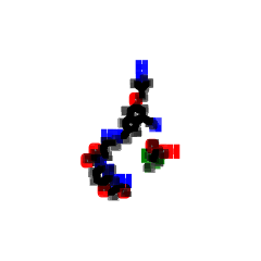 N#Cc1cc(OCC2CNC2)cc2c1CC(CNCCC1CN(c3ccc4c(n3)NC(=O)CO4)C(=O)O1)C2.O=C(O)C(F)(F)F